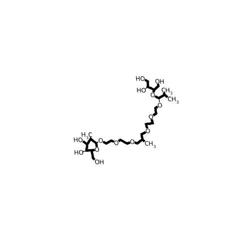 CC(COCCOCCO[C@H](OC(CO)[C@H](O)CO)C(C)C)COCCOCCO[C@@H]1OC(CO)[C@H](O)C(O)[C@@H]1C